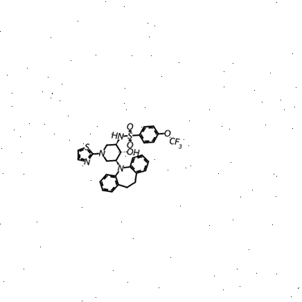 O=S(=O)(N[C@@H]1CN(c2nccs2)C[C@H](N2c3ccccc3CCc3ccccc32)[C@H]1O)c1ccc(OC(F)(F)F)cc1